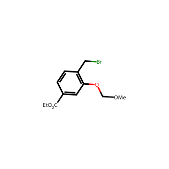 CCOC(=O)c1ccc(CBr)c(OCOC)c1